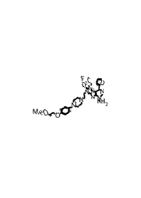 COCCOc1ccc(N2CCN(CCn3c(=O)n(CC(F)(F)F)n4c5c(nc34)N(N)CN=C5c3ccco3)CC2)cc1